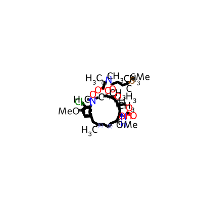 COc1cc2cc(c1Cl)N(C)C(=O)C[C@H](OC(=O)[C@H](C)N(C)C(=O)CCC(C)(C)SSC)[C@]1(C)O[C@H]1[C@@]1(C)COC(=O)N[C@](O)(C1)[C@H](OC)/C=C/C=C(\C)C2